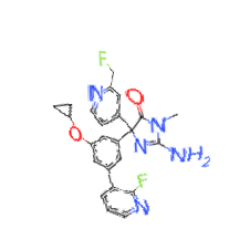 CN1C(=O)C(c2cc(OC3CC3)cc(-c3cccnc3F)c2)(c2ccnc(CF)c2)N=C1N